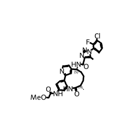 COCC(=O)Nc1ccc2c(c1)NC(=O)[C@@H](C)CCC[C@H](NC(=O)c1nnn(-c3cccc(Cl)c3F)c1C)c1ccnc-2c1